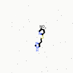 O=[N+]([O-])c1ccc(SCCc2c[nH]cn2)nc1